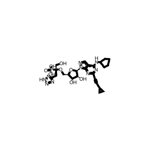 O=P(O)(O)[C@@](CO)(Cc1nn[nH]n1)OC[C@H]1O[C@@H](n2ncc3c(NC4CCCC4)nc(C#CC4CC4)nc32)[C@H](O)[C@@H]1O